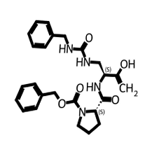 C=C(O)[C@H](CNC(=O)NCc1ccccc1)NC(=O)[C@@H]1CCCN1C(=O)OCc1ccccc1